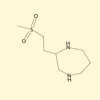 CS(=O)(=O)CCC1CNCCCN1